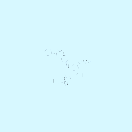 COc1cc(C)cc(N(CCOS(C)(=O)=O)c2ccc3ncc(-c4ccccc4)cc3c2)c1